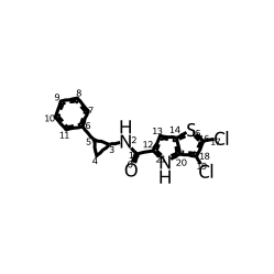 O=C(NC1CC1c1ccccc1)c1cc2sc(Cl)c(Cl)c2[nH]1